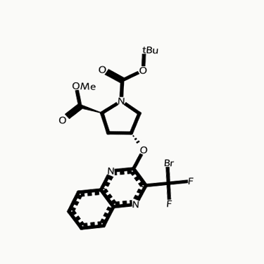 COC(=O)[C@@H]1C[C@@H](Oc2nc3ccccc3nc2C(F)(F)Br)CN1C(=O)OC(C)(C)C